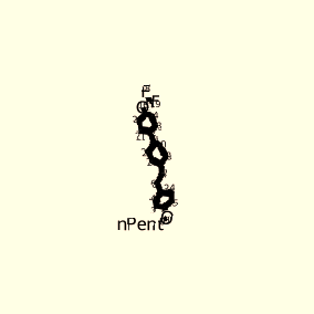 CCCCCOc1ccc(CCc2ccc(-c3ccc(OC(F)F)cc3)cc2)cc1